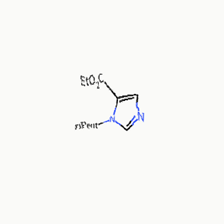 CCCCCn1cncc1C(=O)OCC